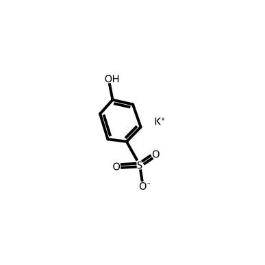 O=S(=O)([O-])c1ccc(O)cc1.[K+]